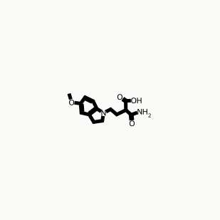 COc1ccc2c(c1)CCN2CCC(C(N)=O)C(=O)O